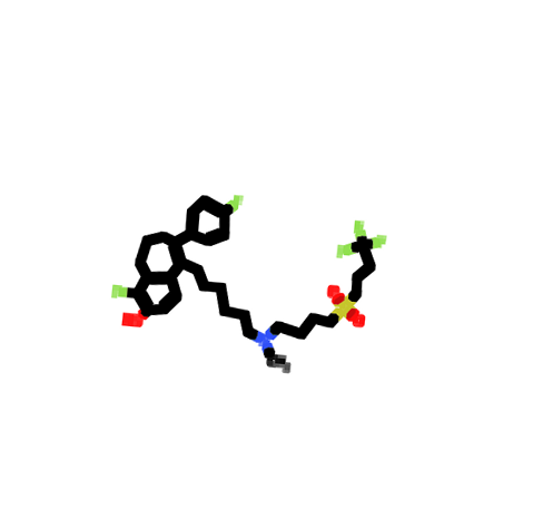 CN(CCCCCCC1=C(c2ccc(F)cc2)CCCc2c1ccc(O)c2F)CCCCS(=O)(=O)CCCC(F)(F)F